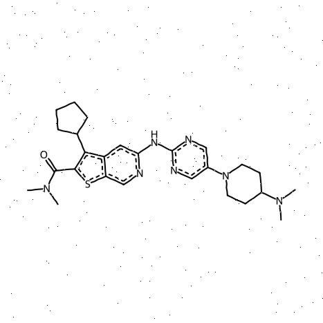 CN(C)C(=O)c1sc2cnc(Nc3ncc(N4CCC(N(C)C)CC4)cn3)cc2c1C1CCCC1